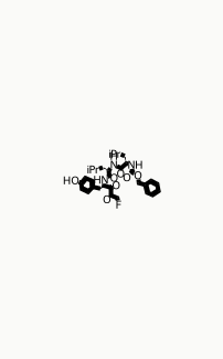 CC(C)C[C@H](NC(=O)OCc1ccccc1)C(=O)N[C@@H](CC(C)C)C(=O)N[C@@H](Cc1ccc(O)cc1)C(=O)C(=O)CF